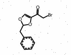 O=C(CBr)C1=COC(Cc2ccccc2)O1